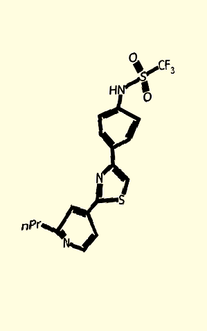 CCCc1cc(-c2nc(-c3ccc(NS(=O)(=O)C(F)(F)F)cc3)cs2)ccn1